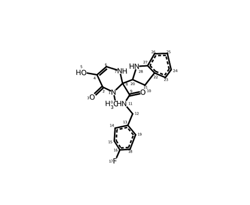 CN1C(=O)C(O)=CNC1(C(=O)NCc1ccc(F)cc1)C1Cc2ccccc2N1